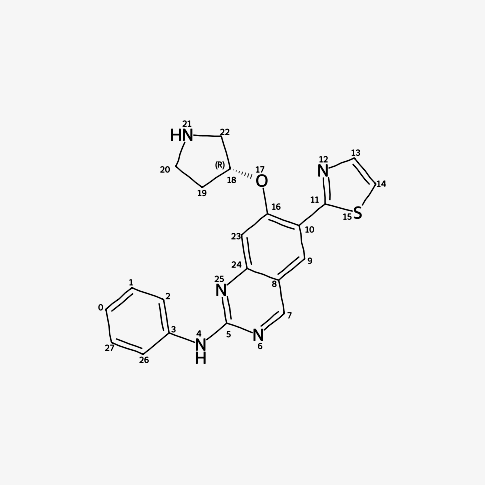 c1ccc(Nc2ncc3cc(-c4nccs4)c(O[C@@H]4CCNC4)cc3n2)cc1